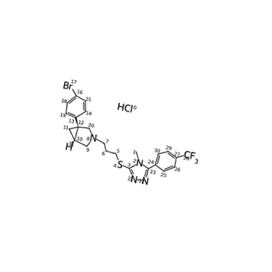 Cl.Cn1c(SCCCN2C[C@@H]3C[C@]3(c3ccc(Br)cc3)C2)nnc1-c1ccc(C(F)(F)F)cc1